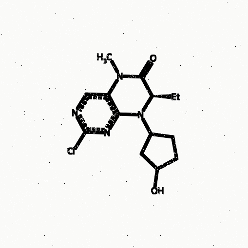 CC[C@@H]1C(=O)N(C)c2cnc(Cl)nc2N1C1CCC(O)C1